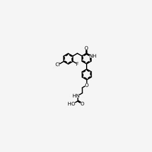 O=C(O)NCCOc1ccc(-c2c[nH]c(=O)c(Cc3ccc(Cl)cc3F)c2)cc1